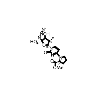 COC(=O)[C@@H]1CCCN1c1ccn([C@@H]2O[C@@](CO)(N=[N+]=[N-])C(O)[C@@H]2F)c(=O)n1